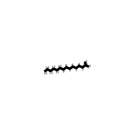 [CH2]C(C)CCCCCCCCCCCCC